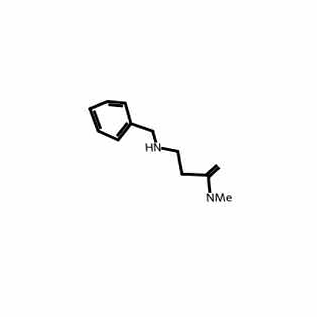 C=C(CCNCc1ccccc1)NC